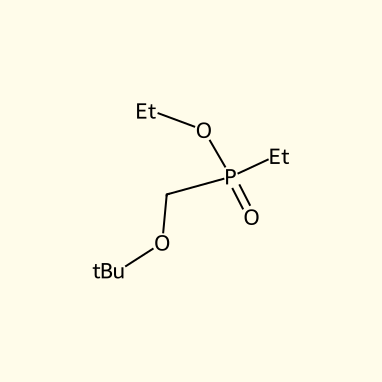 CCOP(=O)(CC)COC(C)(C)C